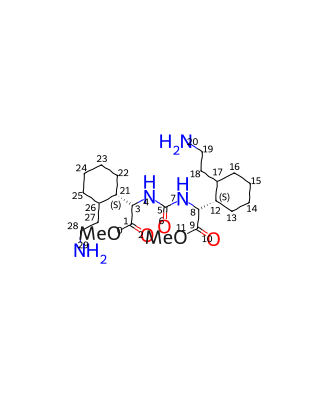 COC(=O)C(NC(=O)NC(C(=O)OC)[C@H]1CCCCC1CCN)[C@H]1CCCCC1CCN